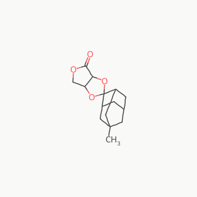 CC12CC3CC(C1)C1(OC4COC(=O)C4O1)C(C3)C2